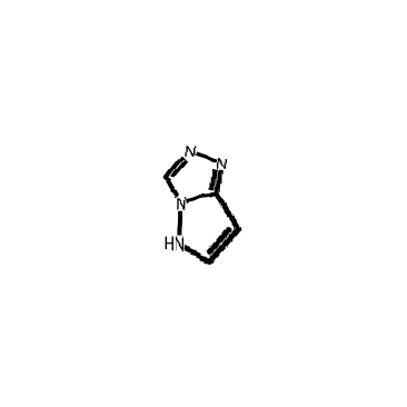 c1cc2nncn2[nH]1